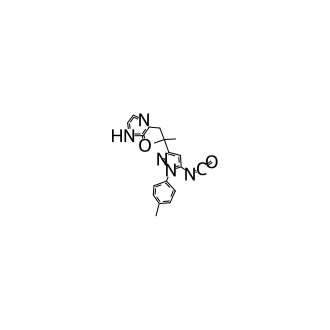 Cc1ccc(-n2nc(C(C)(C)Cc3ncc[nH]c3=O)cc2N=C=O)cc1